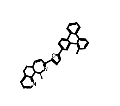 Cc1cccc2c3ccccc3c3ccc(-c4ccc(C5=N[C@@H](C)C6c7ncccc7CCC6C=C5)o4)cc3c12